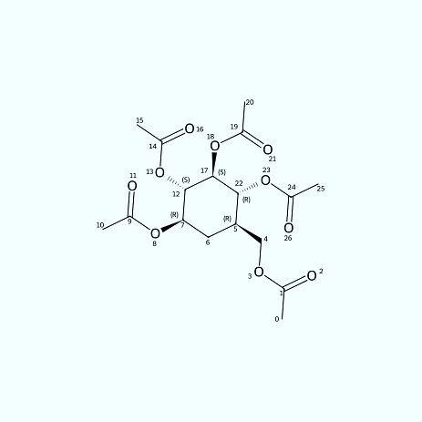 CC(=O)OC[C@H]1C[C@@H](OC(C)=O)[C@H](OC(C)=O)[C@@H](OC(C)=O)[C@@H]1OC(C)=O